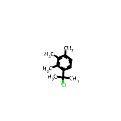 Cc1ccc(C(C)(C)Cl)c(C)c1C